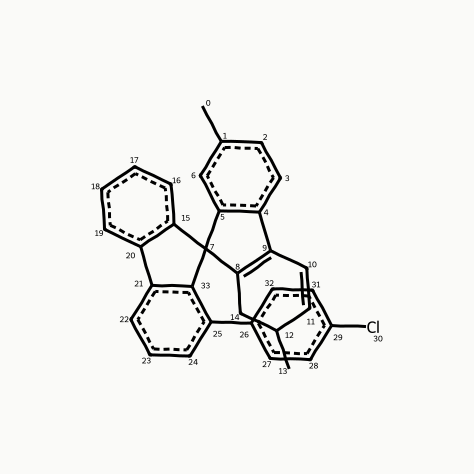 Cc1ccc2c(c1)C1(C3=C2C=CC(C)C3)c2ccccc2-c2cccc(-c3ccc(Cl)cc3)c21